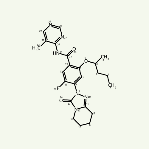 CCCC(C)Oc1cc(-n2nc3n(c2=O)CCCC3)c(F)cc1C(=O)Nc1ncncc1C